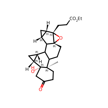 CCOC(=O)CC[C@@]12O[C@@]13CCC1C(C3[C@@H]3C[C@@H]32)[C@H]2C[C@H]2[C@]2(O)CC(=O)CC[C@]12C